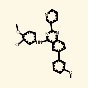 COc1cccc(-c2ccc3nc(-c4cccnc4)nc(Nc4ccc(OC)c(Cl)c4)c3c2)c1